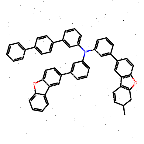 CC1C=Cc2c(oc3ccc(-c4cccc(N(c5cccc(-c6ccc(-c7ccccc7)cc6)c5)c5cccc(-c6ccc7oc8ccccc8c7c6)c5)c4)cc23)C1